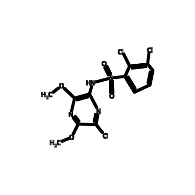 COc1nc(OC)c(NS(=O)(=O)c2cccc(Cl)c2Cl)nc1Cl